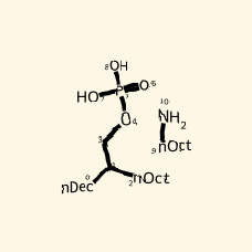 CCCCCCCCCCC(CCCCCCCC)COP(=O)(O)O.CCCCCCCCN